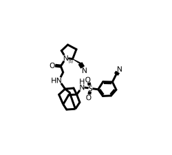 N#Cc1cccc(S(=O)(=O)NC23CC4CC(CC(NCC(=O)N5CCC[C@H]5C#N)(C4)C2)C3)c1